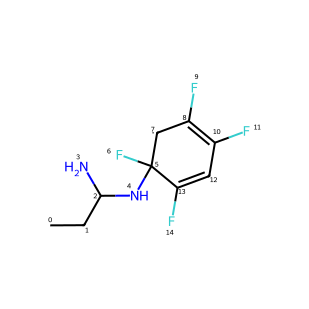 CCC(N)NC1(F)[CH]C(F)=C(F)C=C1F